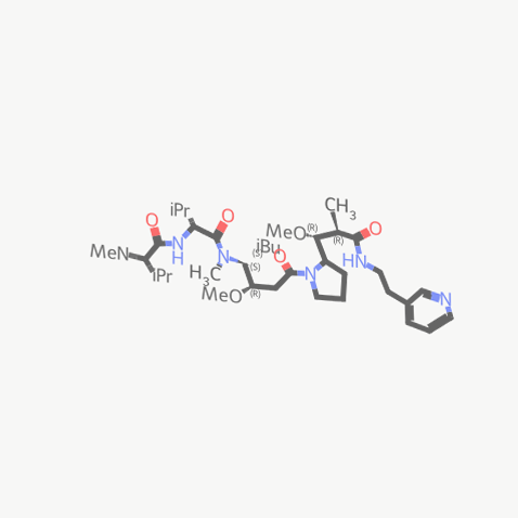 CC[C@H](C)[C@@H]([C@@H](CC(=O)N1CCCC1[C@H](OC)[C@@H](C)C(=O)NCCc1cccnc1)OC)N(C)C(=O)C(NC(=O)C(NC)C(C)C)C(C)C